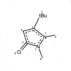 Cn1c(C(C)(C)C)cc(=O)n1C